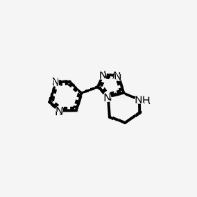 c1ncc(-c2nnc3n2CCCN3)cn1